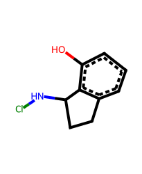 Oc1cccc2c1C(NCl)CC2